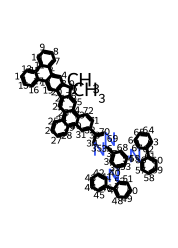 CC1(C)c2cc3c4ccccc4c4ccccc4c3cc2-c2cc3c4ccccc4c4cc(-c5cnc(-c6cc(-n7c8ccccc8c8ccccc87)cc(-n7c8ccccc8c8ccccc87)c6)nc5)ccc4c3cc21